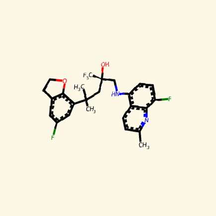 Cc1ccc2c(NC[C@@](O)(CC(C)(C)c3cc(F)cc4c3OCC4)C(F)(F)F)ccc(F)c2n1